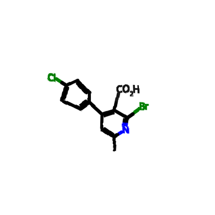 Cc1cc(-c2ccc(Cl)cc2)c(C(=O)O)c(Br)n1